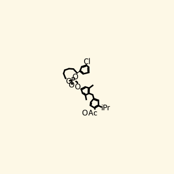 CC(=O)Oc1ccc(Cc2c(C)cc(OCP3(=O)OCCCCC[C@@H](c4cccc(Cl)c4)O3)cc2C)cc1C(C)C